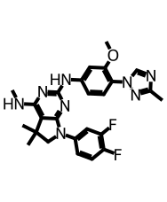 CNc1nc(Nc2ccc(-n3cnc(C)n3)c(OC)c2)nc2c1C(C)(C)CN2c1ccc(F)c(F)c1